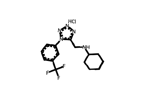 Cl.FC(F)(F)c1cccc(-n2nnnc2CNC2CCCCC2)c1